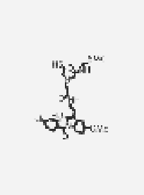 COc1ccc2c(c1)c(CCNC(=O)CCN(CCS)CC(=O)NCCSC)c(C)n2C(=O)c1ccc(Cl)cc1